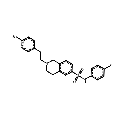 CC(C)(C)c1ccc(CCN2CCc3cc(S(=O)(=O)Nc4ccc(F)cc4)ccc3C2)cn1